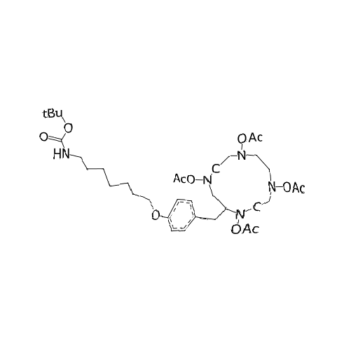 CC(=O)ON1CCN(OC(C)=O)CCN(OC(C)=O)C(Cc2ccc(OCCCCCCCNC(=O)OC(C)(C)C)cc2)CN(OC(C)=O)CC1